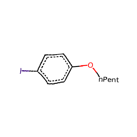 CCC[CH]COc1ccc(I)cc1